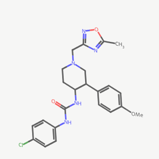 COc1ccc(C2CN(Cc3noc(C)n3)CCC2NC(=O)Nc2ccc(Cl)cc2)cc1